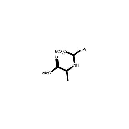 CCCC(NC(C)C(=O)OC)C(=O)OCC